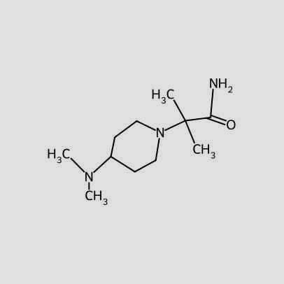 CN(C)C1CCN(C(C)(C)C(N)=O)CC1